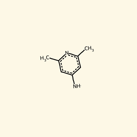 Cc1cc([NH])cc(C)n1